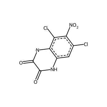 O=C1[N]c2c(cc(Cl)c([N+](=O)[O-])c2Cl)NC1=O